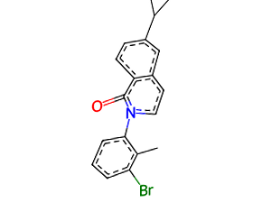 Cc1c(Br)cccc1-n1ccc2cc(C3CC3)ccc2c1=O